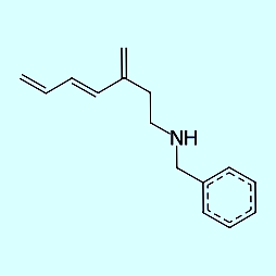 C=CC=CC(=C)CCNCc1ccccc1